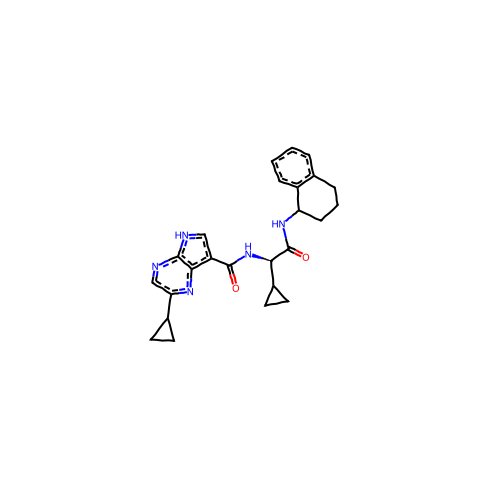 O=C(N[C@@H](C(=O)NC1CCCc2ccccc21)C1CC1)c1c[nH]c2ncc(C3CC3)nc12